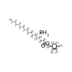 CCCCCCCCCCCCCCCCCC(=O)OCc1ccc(C)c(C)c1C.P